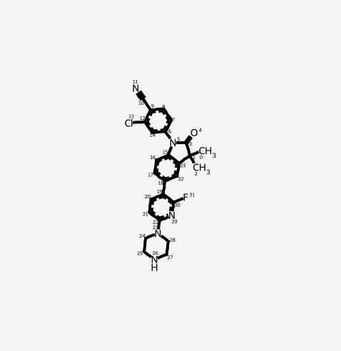 CC1(C)C(=O)N(c2ccc(C#N)c(Cl)c2)c2ccc(-c3ccc(N4CCNCC4)nc3F)cc21